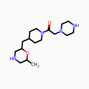 CC1CNCC(CC2CCN(C(=O)CN3CCNCC3)CC2)O1